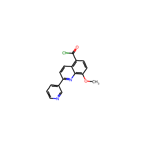 COc1ccc(C(=O)Cl)c2ccc(-c3cccnc3)nc12